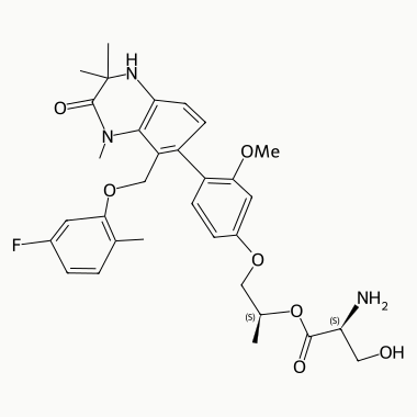 COc1cc(OC[C@H](C)OC(=O)[C@@H](N)CO)ccc1-c1ccc2c(c1COc1cc(F)ccc1C)N(C)C(=O)C(C)(C)N2